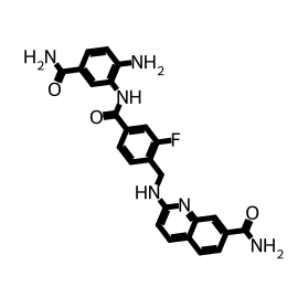 NC(=O)c1ccc(N)c(NC(=O)c2ccc(CNc3ccc4ccc(C(N)=O)cc4n3)c(F)c2)c1